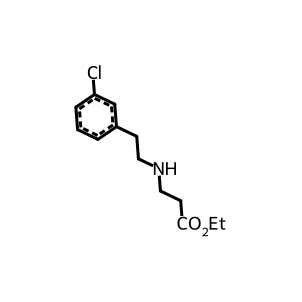 CCOC(=O)CCNCCc1cccc(Cl)c1